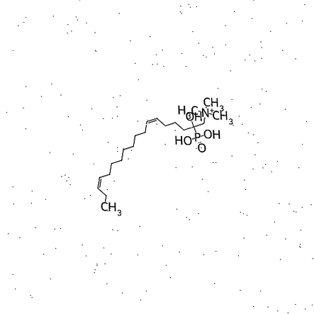 CC/C=C\CCCCCCC/C=C\CCCC(O)(C[N+](C)(C)C)P(=O)(O)O